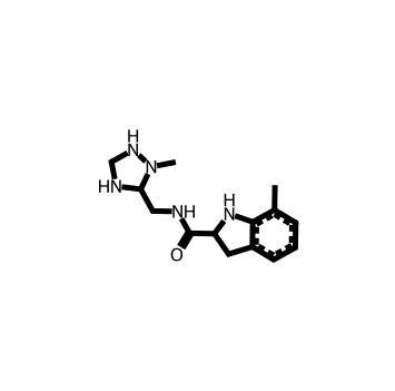 Cc1cccc2c1NC(C(=O)NCC1NCNN1C)C2